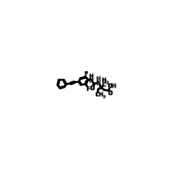 CCC(C)(CC(=O)O)NC(=O)Nc1c(F)cc(C#Cc2ccccc2)cc1F